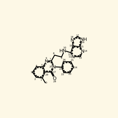 Cc1cccc2nc(CCNc3ncnc4[nH]cnc34)n(-c3ccccc3)c(=O)c12